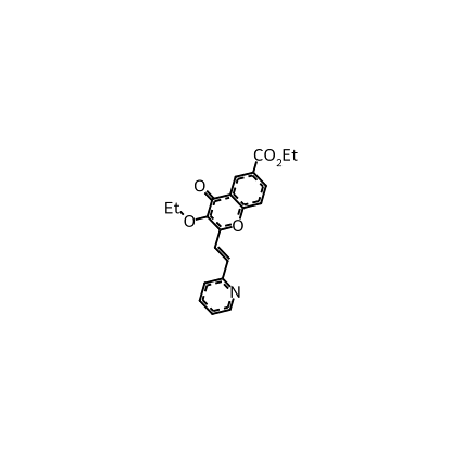 CCOC(=O)c1ccc2oc(/C=C/c3ccccn3)c(OCC)c(=O)c2c1